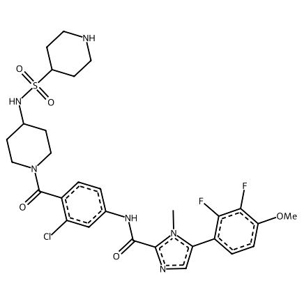 COc1ccc(-c2cnc(C(=O)Nc3ccc(C(=O)N4CCC(NS(=O)(=O)C5CCNCC5)CC4)c(Cl)c3)n2C)c(F)c1F